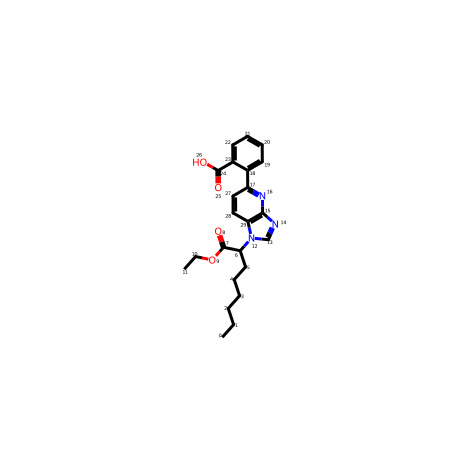 CCCCCCC(C(=O)OCC)n1cnc2nc(-c3ccccc3C(=O)O)ccc21